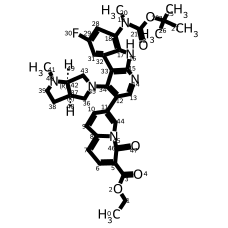 CCOC(=O)c1ccc2ccc(-c3cnc4[nH]c5c(N(C)C(=O)OC(C)(C)C)cc(F)cc5c4c3N3C[C@H]4CCN(C)[C@H]4C3)cn2c1=O